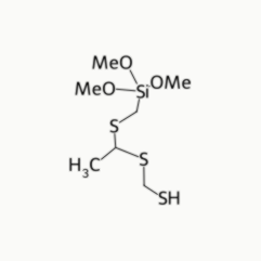 CO[Si](CSC(C)SCS)(OC)OC